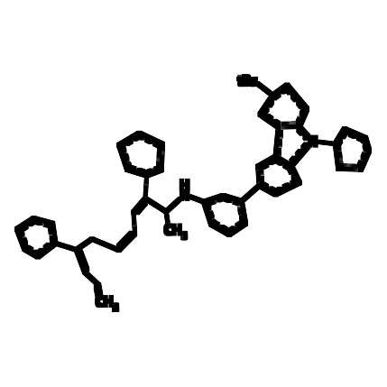 C=C/C=C(\C/C=C\C=C(\c1ccccc1)C(C)Nc1cccc(-c2ccc3c(c2)c2cc(C(C)(C)C)ccc2n3-c2ccccc2)c1)c1ccccc1